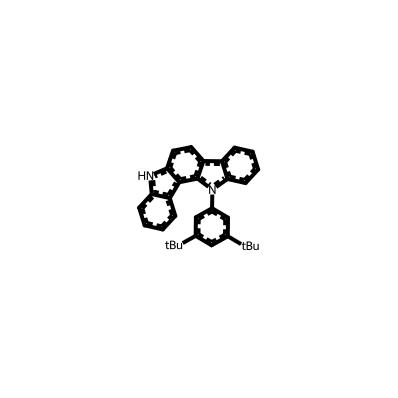 CC(C)(C)c1cc(-n2c3ccccc3c3ccc4[nH]c5ccccc5c4c32)cc(C(C)(C)C)c1